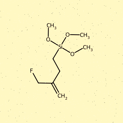 C=C(CF)CC[Si](OC)(OC)OC